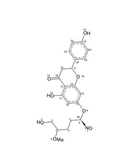 COC(CO)CC[C@H](N=O)Oc1cc(O)c2c(c1)OC(c1ccc(O)cc1)CC2=O